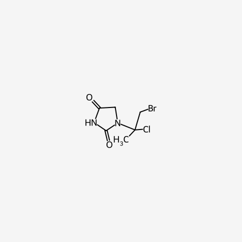 CC(Cl)(CBr)N1CC(=O)NC1=O